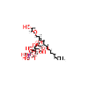 CCCCCCCCCCCCOCCO.O=P(O)(O)O.OCCO.OCCO.OCCO